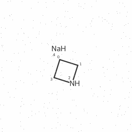 C1CNC1.[NaH]